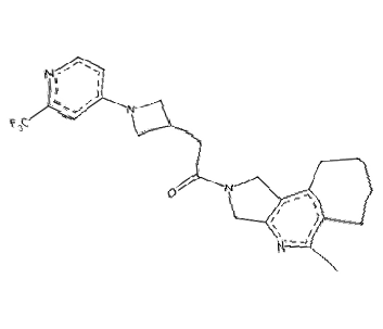 Cc1nc2c(c3c1CCCC3)CN(C(=O)CC1CN(c3ccnc(C(F)(F)F)c3)C1)C2